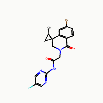 N#C[C@@H]1C[C@@]12CN(CC(=O)Nc1ncc(F)cn1)C(=O)c1ccc(Br)cc12